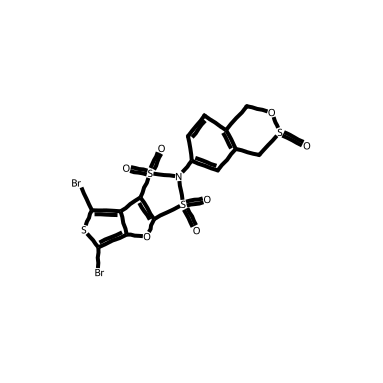 O=S1Cc2cc(N3S(=O)(=O)c4oc5c(Br)sc(Br)c5c4S3(=O)=O)ccc2CO1